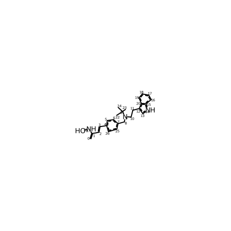 C=C(/C=C/c1ccc(CN(CCc2c[nH]c3ccccc23)C(C)(C)C)cc1)NO